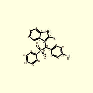 Cc1[nH]c2ccccc2c1C(c1ccc(Cl)cc1)S(=O)(=O)c1ccccc1